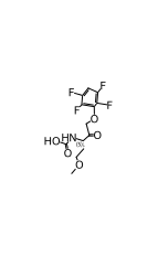 COCC[C@H](NC(=O)O)C(=O)COc1c(F)c(F)cc(F)c1F